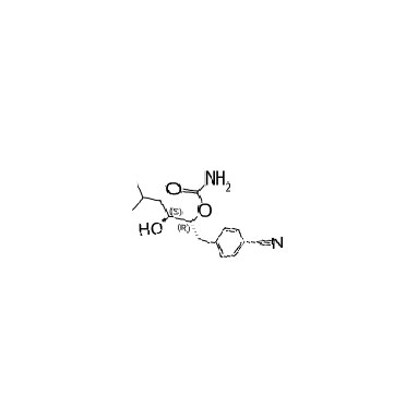 CC(C)C[C@H](O)[C@@H](Cc1ccc(C#N)cc1)OC(N)=O